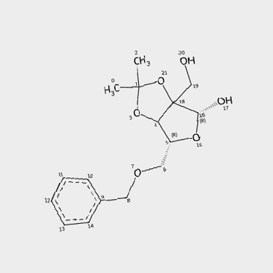 CC1(C)OC2[C@@H](COCc3ccccc3)O[C@@H](O)C2(CO)O1